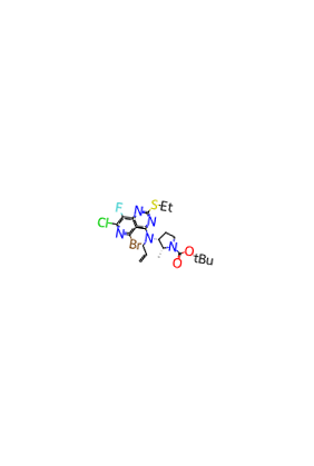 C=CCN(c1nc(SCC)nc2c(F)c(Cl)nc(Br)c12)[C@@H]1CCN(C(=O)OC(C)(C)C)[C@@H]1C